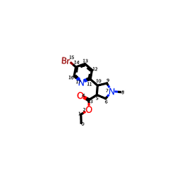 CCOC(=O)C1CN(C)CC1c1ccc(Br)cn1